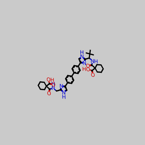 CC(C)(C)C(NC(=O)C1(C(=O)O)CCCCC1)c1nc(-c2ccc(-c3ccc(-c4c[nH]c(CNC(=O)C5(C(=O)O)CCCCC5)n4)cc3)cc2)c[nH]1